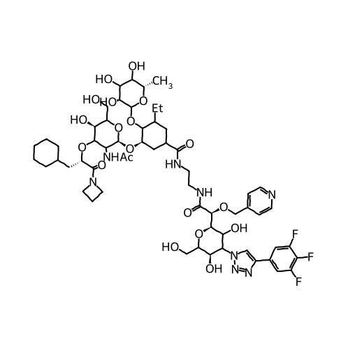 CCC1CC(C(=O)NCCNC(=O)[C@@H](OCc2ccncc2)[C@@H]2OC(CO)[C@H](O)C(n3cc(-c4cc(F)c(F)c(F)c4)nn3)C2O)C[C@@H](O[C@@H]2OC(CO)[C@H](O)C(O[C@@H](CC3CCCCC3)C(=O)N3CCC3)C2NC(C)=O)C1OC1O[C@@H](C)C(O)C(O)[C@@H]1O